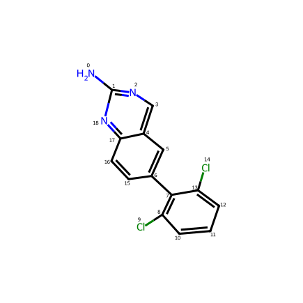 Nc1ncc2cc(-c3c(Cl)cccc3Cl)ccc2n1